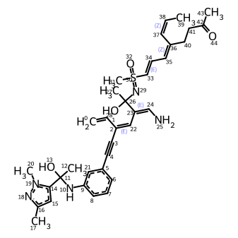 C=C/C(C#Cc1cccc(NC(C)(O)c2cc(C)nn2C)c1)=C\C(=C/N)C(C)(O)N=S(C)(=O)/C=C/C=C(\C=C/C)CCC(C)=O